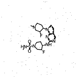 CNS(=O)(=O)N1CC[C@@H](Nc2ncc3ccn([C@@H]4CCN(C)C[C@@H]4F)c3n2)[C@H](F)C1